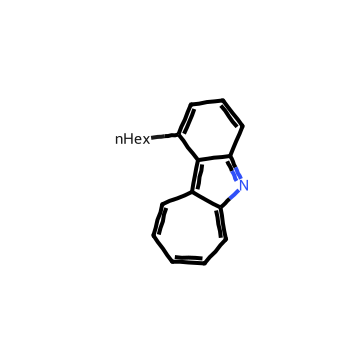 CCCCCCc1cccc2nc3cccccc-3c12